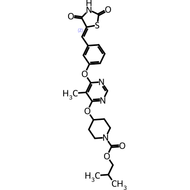 Cc1c(Oc2cccc(/C=C3\SC(=O)NC3=O)c2)ncnc1OC1CCN(C(=O)OCC(C)C)CC1